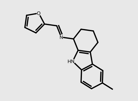 Cc1ccc2[nH]c3c(c2c1)CCCC3N=Cc1ccco1